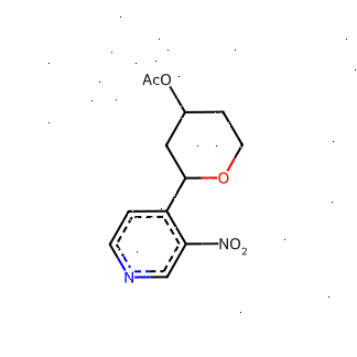 CC(=O)OC1CCOC(c2ccncc2[N+](=O)[O-])C1